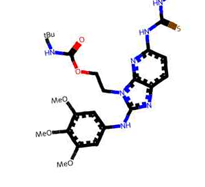 CCC(C)NC(=S)Nc1ccc2nc(Nc3cc(OC)c(OC)c(OC)c3)n(CCOC(=O)NC(C)(C)C)c2n1